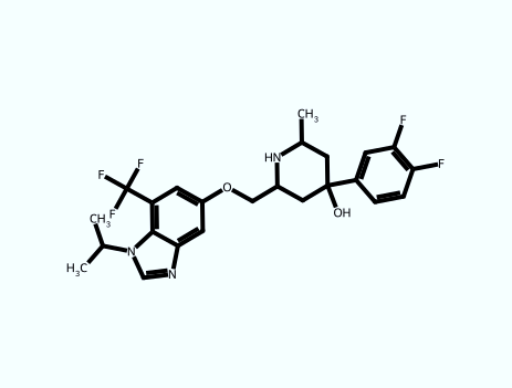 CC1CC(O)(c2ccc(F)c(F)c2)CC(COc2cc(C(F)(F)F)c3c(c2)ncn3C(C)C)N1